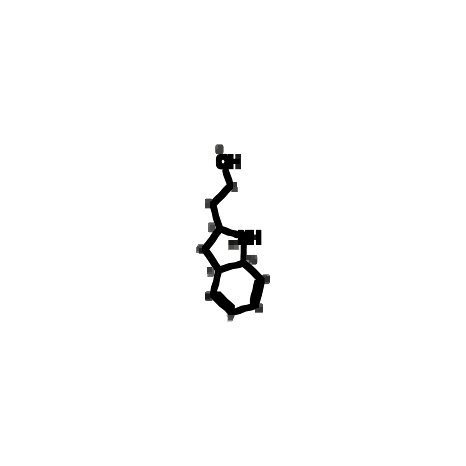 OCCC1CC2C=CC=CC2N1